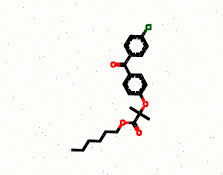 CCCCCCOC(=O)C(C)(C)Oc1ccc(C(=O)c2ccc(Cl)cc2)cc1